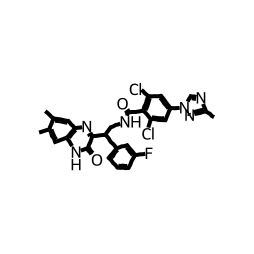 Cc1ncn(-c2cc(Cl)c(C(=O)NCC(c3cccc(F)c3)c3nc4cc(C)c(C)cc4[nH]c3=O)c(Cl)c2)n1